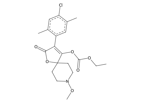 CCOC(=O)OC1=C(c2cc(C)c(Cl)cc2C)C(=O)OC12CCN(OC)CC2